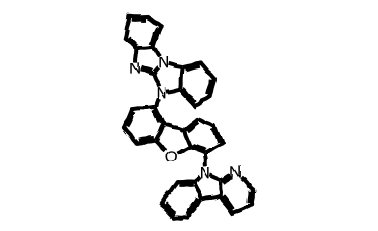 c1ccc2c(c1)nc1n(-c3cccc4oc5c(-n6c7ccccc7c7cccnc76)cccc5c34)c3ccccc3n21